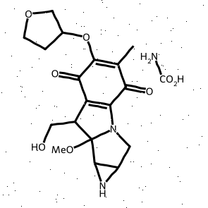 COC12C(CO)C3=C(C(=O)C(C)=C(OC4CCOC4)C3=O)N1CC1NC12.NC(=O)O